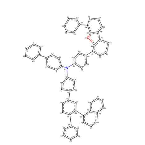 c1ccc(-c2ccc(N(c3ccc(-c4ccc(-c5ccccc5)c(-c5cccc6ccccc56)c4)cc3)c3ccc(-c4cccc5c4oc4c(-c6ccccc6)cccc45)cc3)cc2)cc1